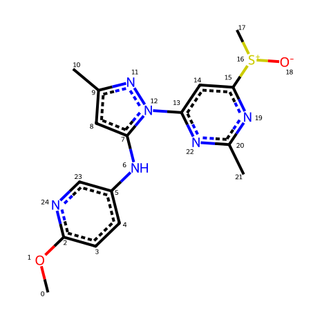 COc1ccc(Nc2cc(C)nn2-c2cc([S+](C)[O-])nc(C)n2)cn1